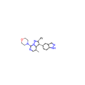 Cc1cnc(N2CCOCC2)n2nc(C(C)C)c(-c3ccc4[nH]ncc4c3)c12